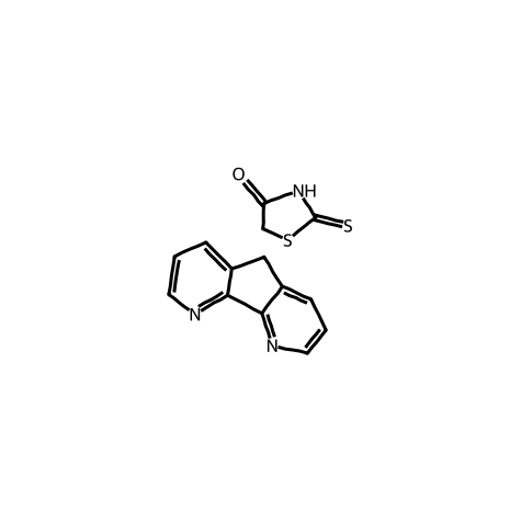 O=C1CSC(=S)N1.c1cnc2c(c1)Cc1cccnc1-2